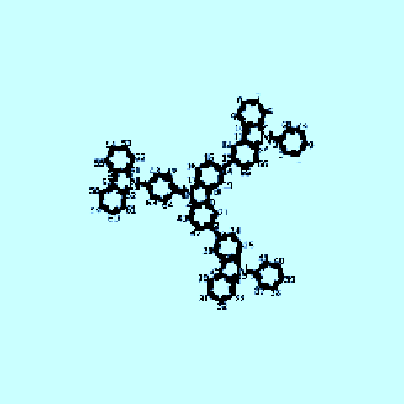 c1ccc(-n2c3ccccc3c3cc(-c4ccc5c(c4)c4cc(-c6ccc7c(c6)c6ccccc6n7-c6ccccc6)ccc4n5-c4ccc(-n5c6ccccc6c6ccccc65)cc4)ccc32)cc1